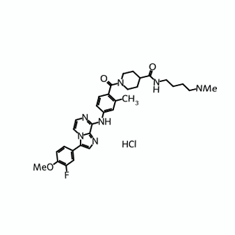 CNCCCCNC(=O)C1CCN(C(=O)c2ccc(Nc3nccn4c(-c5ccc(OC)c(F)c5)cnc34)cc2C)CC1.Cl